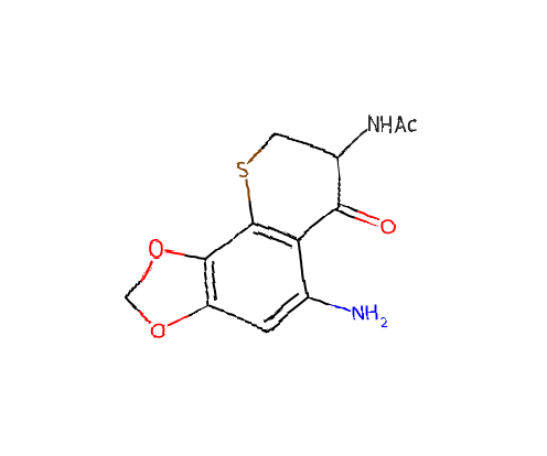 CC(=O)NC1CSc2c3c(cc(N)c2C1=O)OCO3